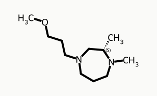 COCCCN1CCCN(C)[C@@H](C)C1